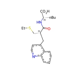 CCCC[C@H](NC(=O)[C@@H](CSCC)Cc1ccnc2ccccc12)C(=O)O